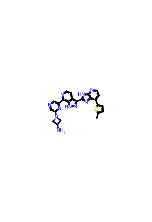 Cc1ccc(-c2ccnc3[nH]c(-c4n[nH]c5c(-c6cncc(N7CC(N)C7)n6)nccc45)nc23)s1